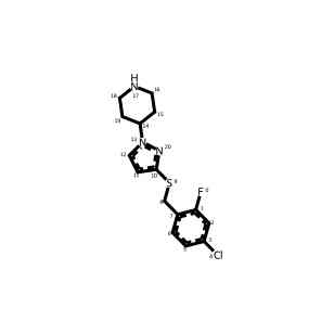 Fc1cc(Cl)ccc1CSc1ccn(C2CCNCC2)n1